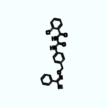 CCC(=NOCc1ccc(NC(=O)NC(=O)c2ccccc2Cl)cc1)c1ccccc1